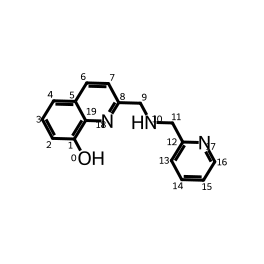 Oc1cccc2ccc(CNCc3ccccn3)nc12